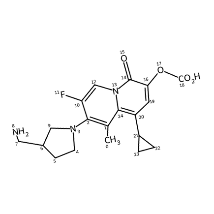 Cc1c(N2CCC(CN)C2)c(F)cn2c(=O)c(OC(=O)O)cc(C3CC3)c12